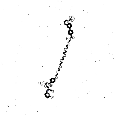 CCC[C@H](NC(=O)/C(C#N)=C/c1cccc(Br)n1)c1ccc(OCCOCCOCCOCCOCCOCCOCCNC(=O)c2ccc(-c3ccc4c(c3)CCCN4C(C)=O)cc2)cc1